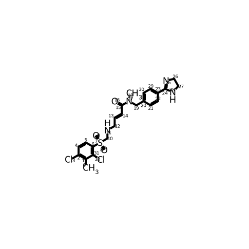 Cc1c(Cl)ccc(S(=O)(=O)CNCC=CC(=O)N(C)Cc2ccc(C3=NCCN3)cc2)c1Cl